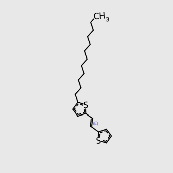 CCCCCCCCCCCCc1ccc(/C=C/c2cccs2)s1